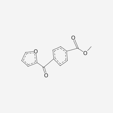 COC(=O)c1ccc(C(=O)c2ccco2)cc1